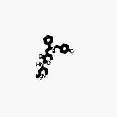 C=C/C=C(\C=C/N)NC(=O)C(=O)C(=C\C)/C=C(/c1ccccc1)N(C)Cc1ccc(Cl)cc1